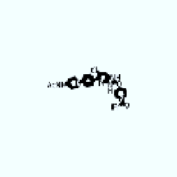 CC(=O)NC1CCN(c2ccc(-c3nc4c(cc3Cl)NC(OC3CCN(C(=O)C(C)C)CC3)N4)cc2)CC1